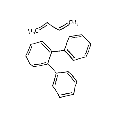 C=CC=C.c1ccc(-c2ccccc2-c2ccccc2)cc1